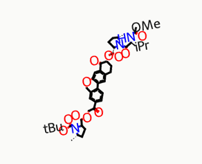 COC(=O)N[C@H](C(=O)N1[C@@H](C)CC[C@H]1C(=O)OC1CCc2cc3c(cc2C1=O)OCc1cc(C(=O)COC(=O)C2CC[C@H](C)N2C(=O)OC(C)(C)C)ccc1-3)C(C)C